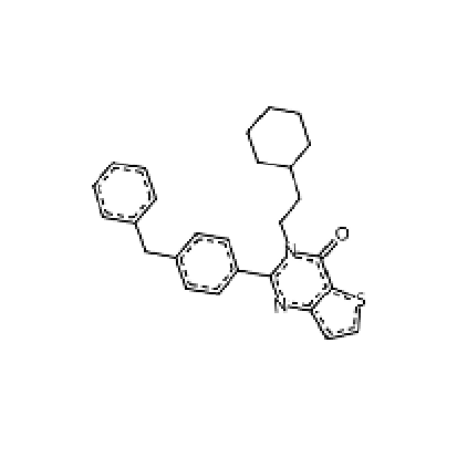 O=c1c2sccc2nc(-c2ccc(Cc3ccccc3)cc2)n1CCC1CCCCC1